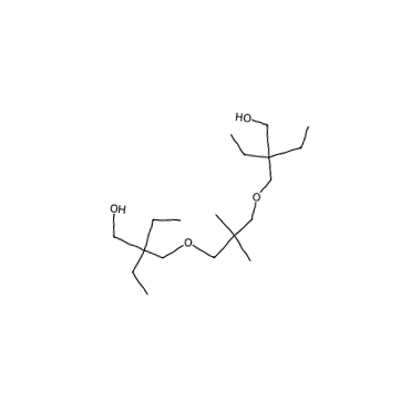 CCC(CC)(CO)COCC(C)(C)COCC(CC)(CC)CO